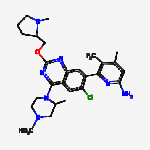 Cc1cc(N)nc(-c2cc3nc(OCC4CCCN4C)nc(N4CCN(C(=O)O)CC4C)c3cc2Cl)c1C(F)(F)F